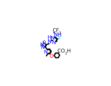 Cc1nc(-c2nnn(C)c2CNc2ncc(F)c(NCC(F)(F)F)n2)ccc1O[C@H]1CCC[C@H](C(=O)O)C1